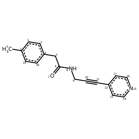 Cc1ccc(CC(=O)NCC#Cc2ccncc2)cc1